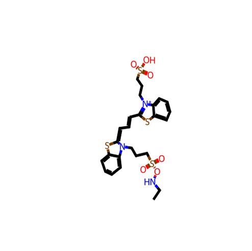 CCNOS(=O)(=O)CCCN1C(=CC=Cc2sc3ccccc3[n+]2CCCS(=O)(=O)O)Sc2ccccc21